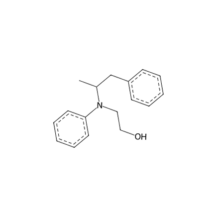 CC(Cc1ccccc1)N(CCO)c1ccccc1